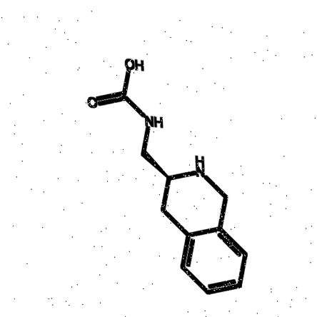 O=C(O)NC[C@@H]1Cc2ccccc2CN1